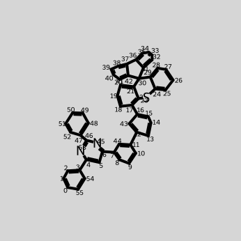 c1ccc(-c2cc(-c3cccc(-c4cccc(-c5cccc6c5Sc5ccccc5C65c6ccccc6-c6ccccc65)c4)c3)nc(-c3ccccc3)n2)cc1